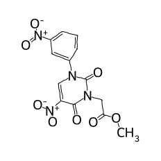 COC(=O)Cn1c(=O)c([N+](=O)[O-])cn(-c2cccc([N+](=O)[O-])c2)c1=O